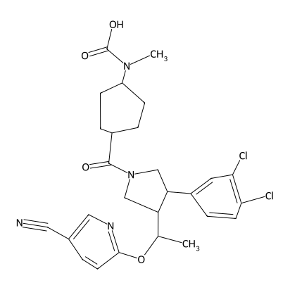 CC(Oc1ccc(C#N)cn1)C1CN(C(=O)C2CCC(N(C)C(=O)O)CC2)CC1c1ccc(Cl)c(Cl)c1